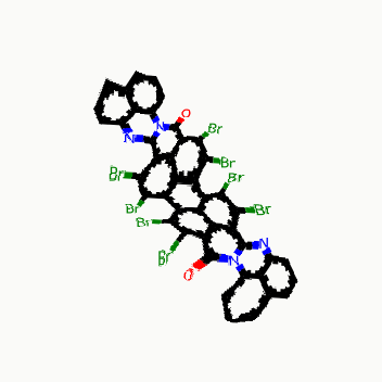 O=c1c2c(Br)c(Br)c3c4c(Br)c(Br)c5c6c(c(Br)c(Br)c(c7c(Br)c(Br)c(c2c37)c2nc3cccc7cccc(c73)n12)c46)c(=O)n1c2cccc3cccc(nc51)c32